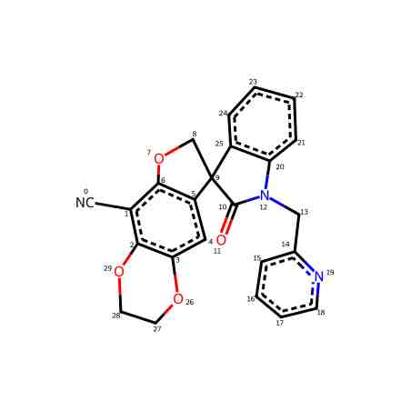 N#Cc1c2c(cc3c1OCC31C(=O)N(Cc3ccccn3)c3ccccc31)OCCO2